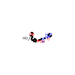 CN1CCN(C(=O)NCCNCC(O)COc2ccc(CC(CC3COC(C)(C)O3)C(=O)O)cc2)CC1